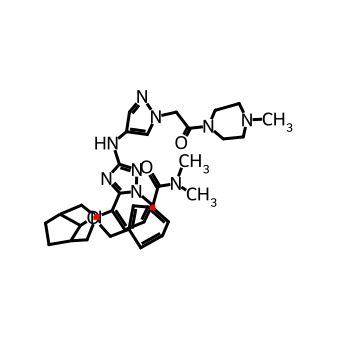 CN1CCN(C(=O)Cn2cc(Nc3nc4c(N5CC6CCC(C5)C6OCc5cccc(C(=O)N(C)C)c5)cccn4n3)cn2)CC1